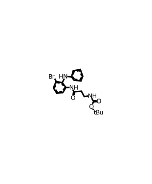 CC(C)(C)OC(=O)NCCC(=O)Nc1cccc(Br)c1Nc1ccccc1